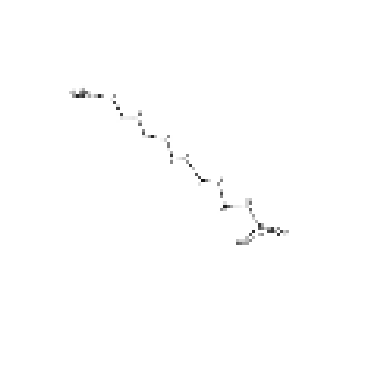 CCCCCCCCCCCCCCCCCCCC[SH](=O)=O